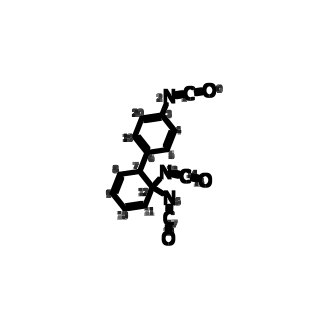 O=C=Nc1ccc(C2C=CC=CC2(N=C=O)N=C=O)cc1